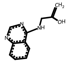 C=C(O)CNc1ncnc2ccccc12